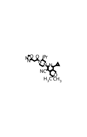 CC(C)C1CN(c2nc(C3CC3)c3c(c2C#N)CC(C)(C)OC3)CCN1C(=O)Cc1nnco1